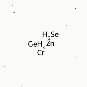 [Cr].[GeH4].[SeH2].[Zn]